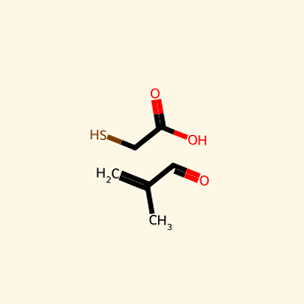 C=C(C)C=O.O=C(O)CS